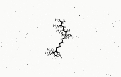 CCC(C)(N)C(=O)CCCCCNC(C)(CC)C(=O)CCC(N)C(=O)O